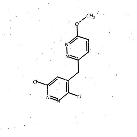 COc1ccc(Cc2cc(Cl)nnc2Cl)nn1